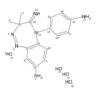 CC1(C)N=Nc2cc(N)ccc2N(c2ccc(N)cc2)C1=N.Cl.Cl.Cl.Cl